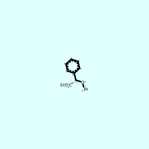 CCOC(=O)[C@@H](OC(C)C)c1ccccc1